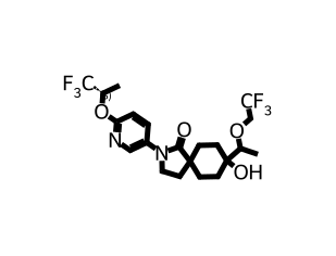 CC(OCC(F)(F)F)C1(O)CCC2(CCN(c3ccc(O[C@@H](C)C(F)(F)F)nc3)C2=O)CC1